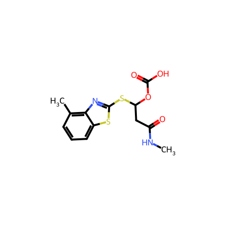 CNC(=O)CC(OC(=O)O)Sc1nc2c(C)cccc2s1